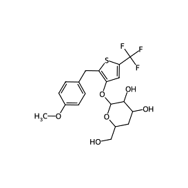 COc1ccc(Cc2sc(C(F)(F)F)cc2OC2OC(CO)CC(O)C2O)cc1